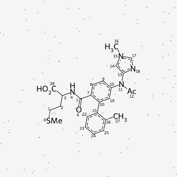 CSCCC(NC(=O)c1ccc(N(C(C)=O)c2cn(C)cn2)cc1-c1ccccc1C)C(=O)O